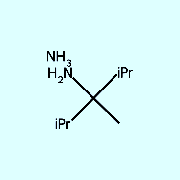 CC(C)C(C)(N)C(C)C.N